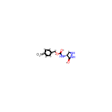 O=C(N[C@H]1CNNC1=O)OCc1ccc([N+](=O)[O-])cc1